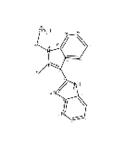 Cc1c(-c2nc3ncccc3[nH]2)c2ccccc2n1CC(=O)O